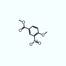 COC(=O)c1ccc(OC)c([N+](=O)[O-])c1